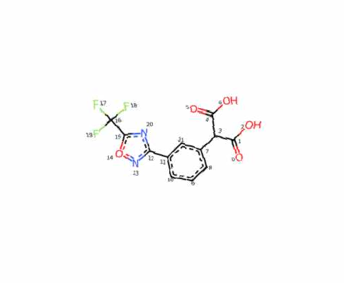 O=C(O)C(C(=O)O)c1cccc(-c2noc(C(F)(F)F)n2)c1